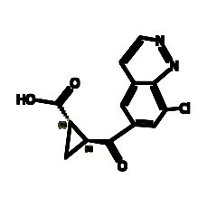 O=C(O)[C@H]1C[C@@H]1C(=O)c1cc(Cl)c2nnccc2c1